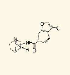 O=C(N[C@@H]1CC2CCN(CC2)C1)c1ccc2c(Cl)coc2c1